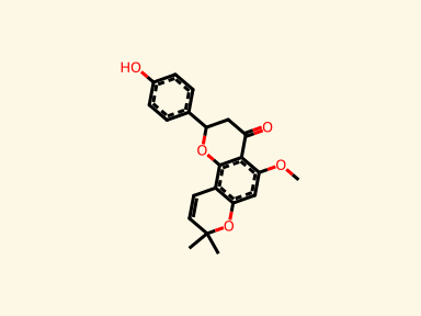 COc1cc2c(c3c1C(=O)CC(c1ccc(O)cc1)O3)C=CC(C)(C)O2